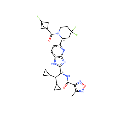 Cc1nonc1C(=O)N[C@H](c1nc2nc([C@@H]3CC(F)(F)CCN3C(=O)C34CC(F)(C3)C4)ccc2[nH]1)C(C1CC1)C1CC1